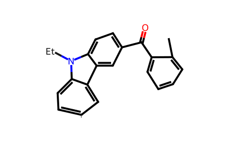 CCn1c2cc[c]cc2c2cc(C(=O)c3ccccc3C)ccc21